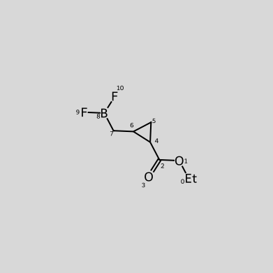 CCOC(=O)C1CC1CB(F)F